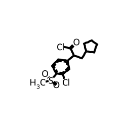 CS(=O)(=O)c1ccc(C(CC2CCCC2)C(=O)Cl)cc1Cl